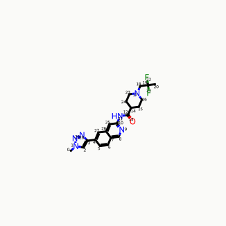 Cn1cc(-c2ccc3cnc(NC(=O)C4CCN(CC(C)(F)F)CC4)cc3c2)nn1